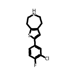 Fc1ccc(-c2cc3c(s2)CCNCC3)cc1Cl